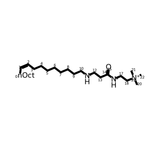 CCCCCCCC/C=C\CCCCCCCCNCCC(=O)NCC[N+](C)(C)C